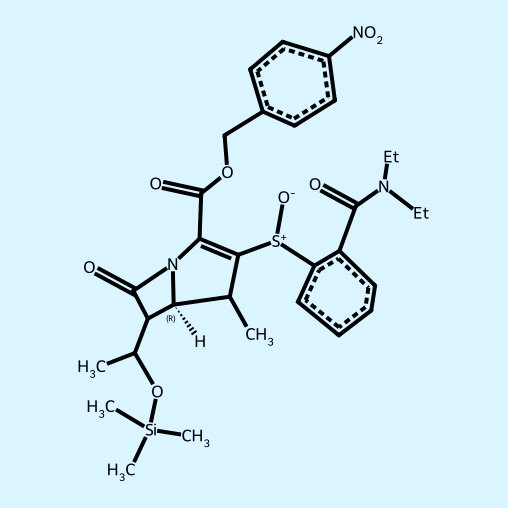 CCN(CC)C(=O)c1ccccc1[S+]([O-])C1=C(C(=O)OCc2ccc([N+](=O)[O-])cc2)N2C(=O)C(C(C)O[Si](C)(C)C)[C@@H]2C1C